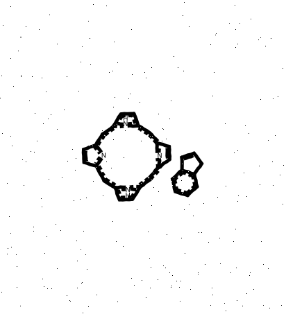 C1=Cc2cc3ccc(cc4nc(cc5ccc(cc1n2)[nH]5)C=C4)[nH]3.C1=Cc2ccccc2C1